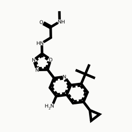 CNC(=O)CNc1nnc(-c2cc(N)c3cc(C4CC4)cc(C(C)(C)C)c3n2)o1